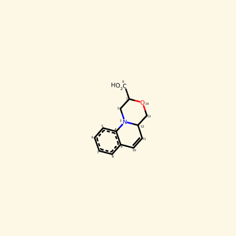 O=C(O)C1CN2c3ccccc3C=CC2CO1